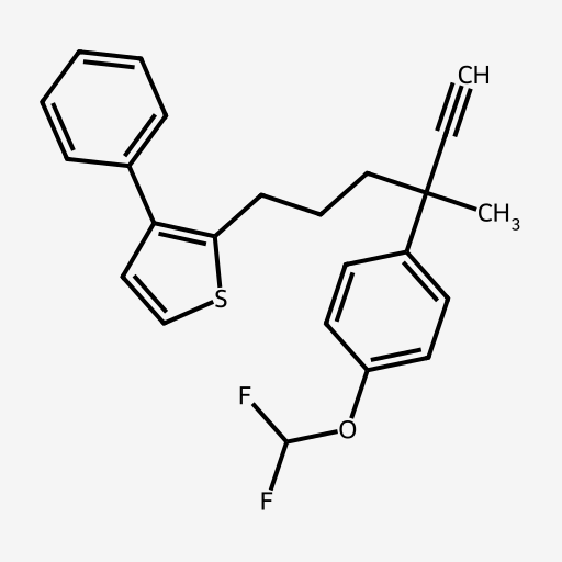 C#CC(C)(CCCc1sccc1-c1ccccc1)c1ccc(OC(F)F)cc1